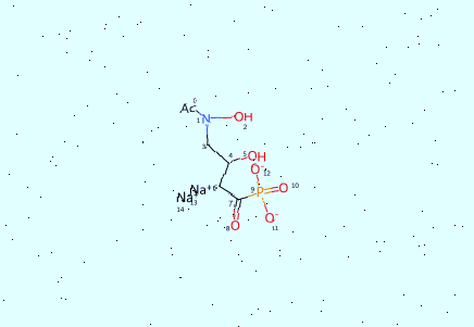 CC(=O)N(O)CC(O)CC(=O)P(=O)([O-])[O-].[Na+].[Na+]